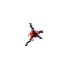 CCCCCCCCC(=O)OCC(O)C(O)C(O)(C(=O)CCCCCCCC)C(O)(C(=O)CCCCCCCC)C(O)C(=O)CCCCCCCC